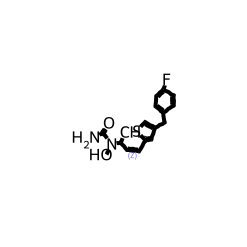 CC(/C=C\c1cc(Cc2ccc(F)cc2)cs1)N(O)C(N)=O